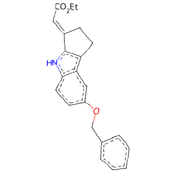 CCOC(=O)C=C1CCc2c1[nH]c1ccc(OCc3ccccc3)cc21